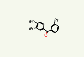 CC(C)c1cccc(C(=O)c2ccc(C(C)C)c(C(C)C)c2)c1